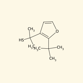 CC(C)(C)c1occc1C(C)(C)S